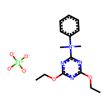 CCOc1nc(OCC)nc([N+](C)(C)c2ccccc2)n1.[O-][Cl+3]([O-])([O-])[O-]